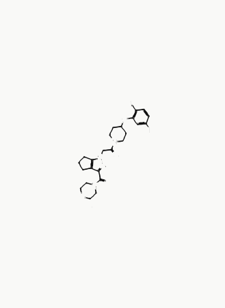 C[C@@H]1CN(C(=O)c2nn(CC(=O)N3CCC(Oc4cc(F)ccc4Cl)CC3)c3c2CCC3)C[C@H](C)O1